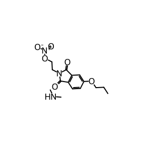 CCCOc1ccc2c(c1)C(=O)N(CCO[N+](=O)[O-])C2=O.CNC